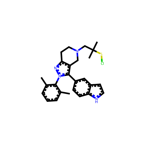 Cc1cccc(C)c1-n1nc2c(c1-c1ccc3[nH]ccc3c1)CN(CC(C)(C)SCl)CC2